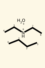 CCCC.CCNCC.O